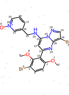 COc1ccc(Br)c(OC)c1-c1cc(NCc2ccc[n+](O)c2)n2ncc(Br)c2n1